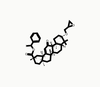 CC1(C)[C@@H](OCC2CO2)CC[C@]2(C)[C@H]3C(=O)C=C4[C@@H]5C[C@@](C)(C(=O)OC(I)c6ccccc6)CC[C@]5(C)CC[C@@]4(C)[C@]3(C)CC[C@@H]12